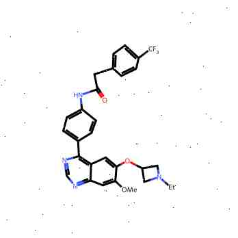 CCN1CC(Oc2cc3c(-c4ccc(NC(=O)Cc5ccc(C(F)(F)F)cc5)cc4)ncnc3cc2OC)C1